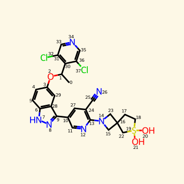 CC(Oc1ccc2[nH]nc(-c3cnc(N4CC5(CCS(O)(O)C5)C4)c(C#N)c3)c2c1)c1c(Cl)cncc1Cl